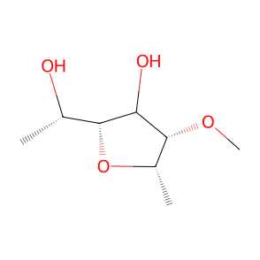 CO[C@H]1C(O)[C@@H]([C@H](C)O)O[C@H]1C